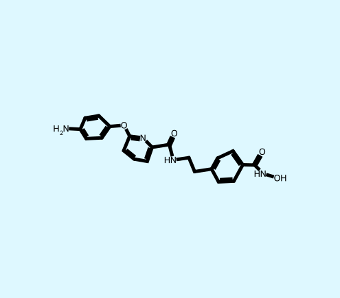 Nc1ccc(Oc2cccc(C(=O)NCCc3ccc(C(=O)NO)cc3)n2)cc1